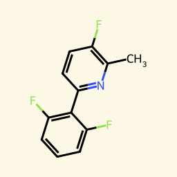 Cc1nc(-c2c(F)cccc2F)ccc1F